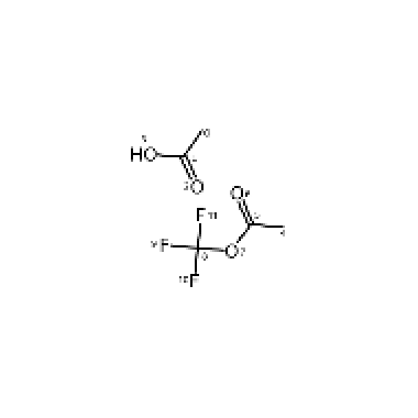 CC(=O)O.CC(=O)OC(F)(F)F